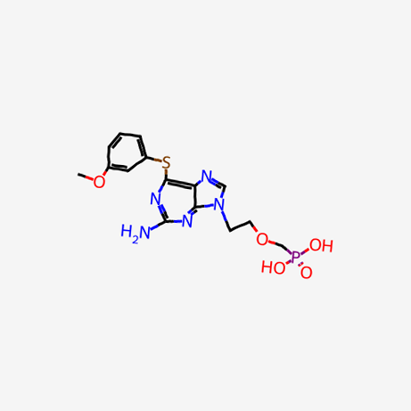 COc1cccc(Sc2nc(N)nc3c2ncn3CCOCP(=O)(O)O)c1